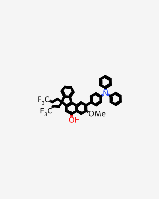 COc1cc2c(O)cc3c(c2cc1-c1ccc(N(c2ccccc2)c2ccccc2)cc1)-c1ccccc1C3(CCC(F)(F)F)CCC(F)(F)F